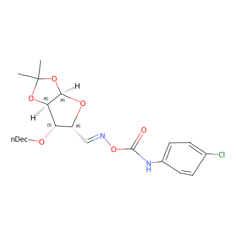 CCCCCCCCCCO[C@@H]1[C@H]2OC(C)(C)O[C@H]2O[C@@H]1C=NOC(=O)Nc1ccc(Cl)cc1